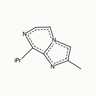 Cc1cn2ccnc(C(C)C)c2n1